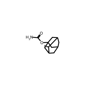 NC(=O)OC12CC3CC(C1)C(F)C(C3)C2